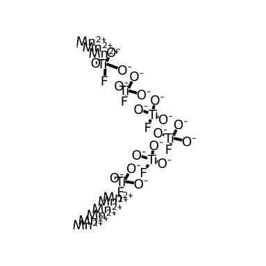 [Mn+2].[Mn+2].[Mn+2].[Mn+2].[Mn+2].[Mn+2].[Mn+2].[Mn+2].[Mn+2].[O-][Ti]([O-])([O-])[F].[O-][Ti]([O-])([O-])[F].[O-][Ti]([O-])([O-])[F].[O-][Ti]([O-])([O-])[F].[O-][Ti]([O-])([O-])[F].[O-][Ti]([O-])([O-])[F]